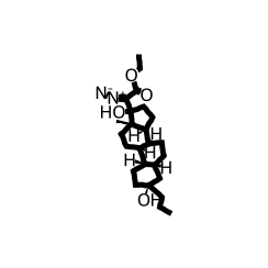 CCC[C@@]1(O)CC[C@H]2[C@H](CC[C@@H]3[C@@H]2CC[C@@]2(C)[C@H]3CCC2(O)C(=[N+]=[N-])C(=O)OCC)C1